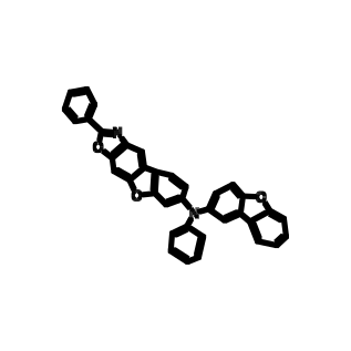 c1ccc(-c2nc3cc4c(cc3o2)oc2cc(N(c3ccccc3)c3ccc5oc6ccccc6c5c3)ccc24)cc1